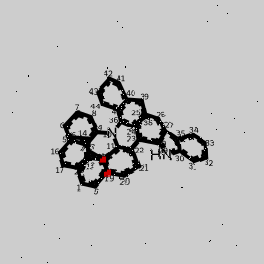 c1ccc(-c2ccccc2N(c2c(-c3ccccc3)cccc2-c2cccc3c2[nH]c2ccccc23)c2cccc3ccccc23)cc1